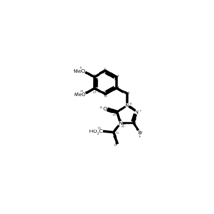 COc1ccc(Cn2nc(Br)n(C(C)C(=O)O)c2=O)cc1OC